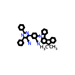 CC1(C)c2ccccc2-c2c1ccc1c2c2ccccc2n1-c1ccc(-c2nc(-c3ccccc3)nc(-c3ccccc3)c2C#N)cc1C#N